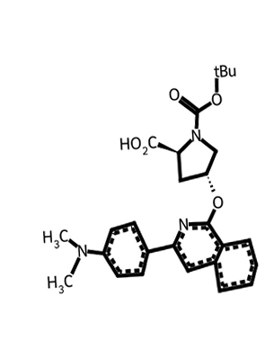 CN(C)c1ccc(-c2cc3ccccc3c(O[C@@H]3C[C@@H](C(=O)O)N(C(=O)OC(C)(C)C)C3)n2)cc1